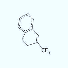 FC(F)(F)C1=Cc2ccccc2CC1